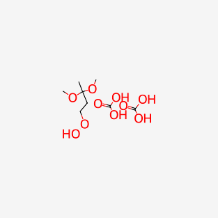 COC(C)(CCOO)OC.O=C(O)O.O=C(O)O